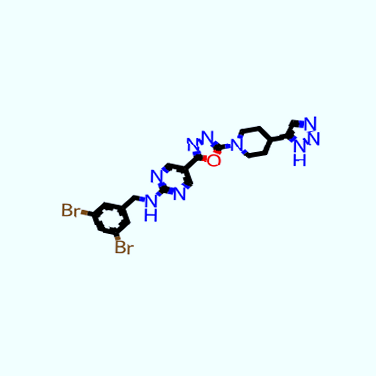 Brc1cc(Br)cc(CNc2ncc(-c3nnc(N4CCC(c5cnn[nH]5)CC4)o3)cn2)c1